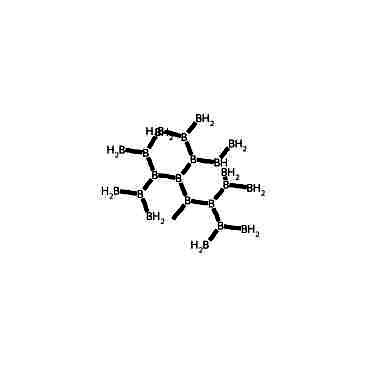 BBB(B(B)B)B(B(C)B(B(B)B)B(B)B)B(B(B)B)B(B)B